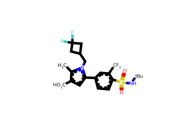 Cc1c(C(=O)O)cc(-c2ccc(S(=O)(=O)NC(C)(C)C)c(C(F)(F)F)c2)n1CC1CC(F)(F)C1